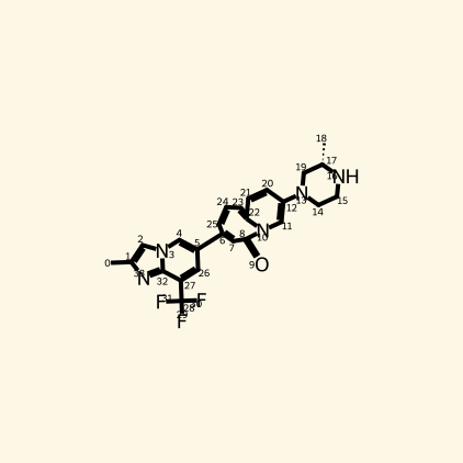 Cc1cn2cc(C3=C\C(=O)N4C=C(N5CCN[C@@H](C)C5)C=C\C4=C/C=C/3)cc(C(F)(F)F)c2n1